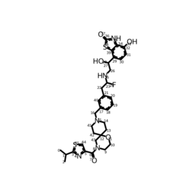 CC(C)c1nc(C(=O)N2CCOC3(CCN(Cc4cccc(CC(F)NCC(O)c5ccc(O)c6[nH]c(=O)sc56)c4)CC3)C2)cs1